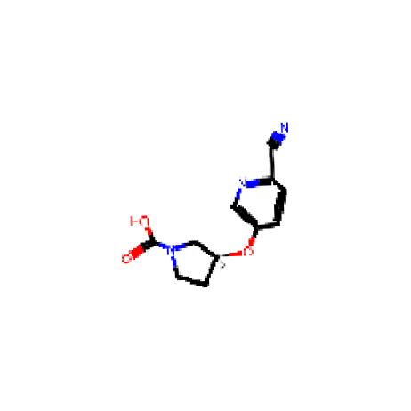 N#Cc1ccc(O[C@H]2CCN(C(=O)O)C2)cn1